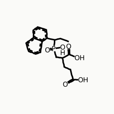 CCC(c1cccc2ccccc12)P(=O)(O)CC(CCC(=O)O)C(=O)O